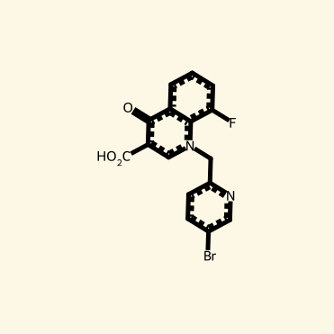 O=C(O)c1cn(Cc2ccc(Br)cn2)c2c(F)cccc2c1=O